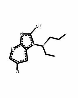 CCC[C@@H](CC)n1c(O)nc2ncc(Cl)cc21